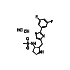 CS(=O)(=O)NC1CCNC1Cc1csc(-c2cc(F)cc(F)c2)n1.Cl.Cl